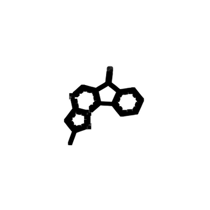 Cc1cc2ncc3c(n2n1)-c1ccccc1C3=O